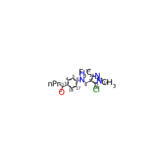 CCCC(=O)c1ccc(NCc2c(C(F)(F)F)nn(C)c2Cl)cc1